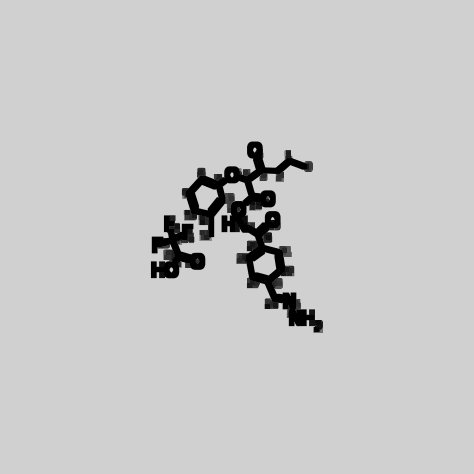 CCCC(=O)C(Oc1cccc(C)c1)C(=O)ONC(=O)c1ccc(C=NN)cc1.O=C(O)C(F)(F)F